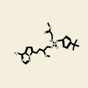 COC(=O)CNP(=O)(OCC(CCc1ccc2c(N)ncnn12)OC)Oc1ccc(C(C)(C)C)cc1